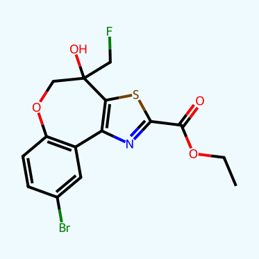 CCOC(=O)c1nc2c(s1)C(O)(CF)COc1ccc(Br)cc1-2